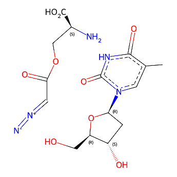 Cc1cn([C@H]2C[C@H](O)[C@@H](CO)O2)c(=O)[nH]c1=O.[N-]=[N+]=CC(=O)OC[C@H](N)C(=O)O